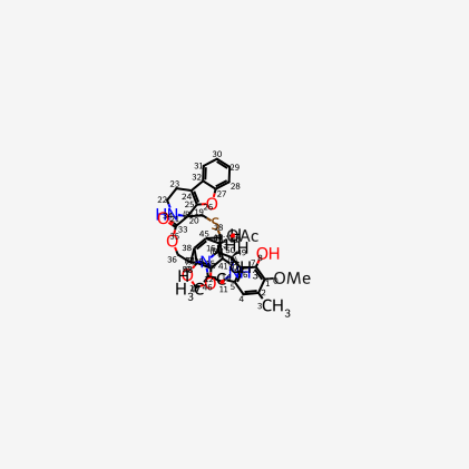 COc1c(C)cc2c(c1O)[C@@H]1NCC(C)(C2)N2[C@H]1[C@@H]1SC[C@]3(NCCc4c3oc3ccccc43)C(=O)OC[C@H]2c2c3c(c(C)c(OC(C)=O)c21)OCO3